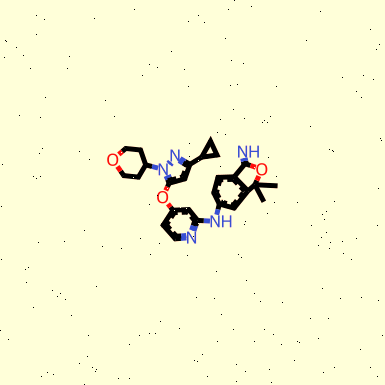 CC1(C)OC(=N)c2ccc(Nc3cc(Oc4cc(C5CC5)nn4C4CCOCC4)ccn3)cc21